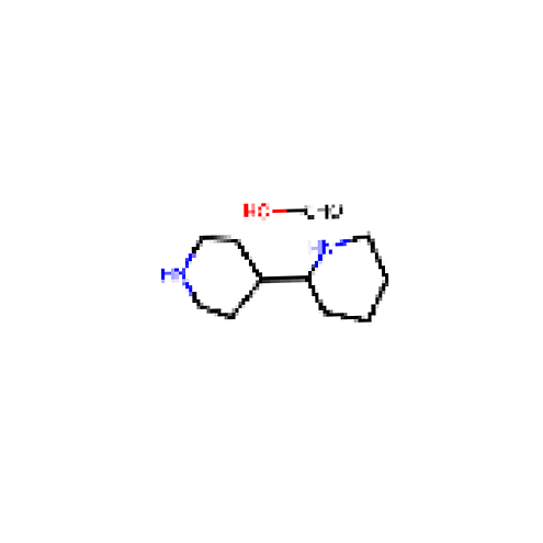 C1CCC(C2CCNCC2)NC1.O=CO